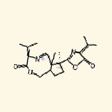 CC(C)=C1N=C([C@@]2(C)CCC3COC(=O)C(=C(C)C)/N=C/C32C)OC1=O